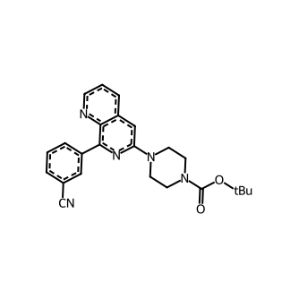 CC(C)(C)OC(=O)N1CCN(c2cc3cccnc3c(-c3cccc(C#N)c3)n2)CC1